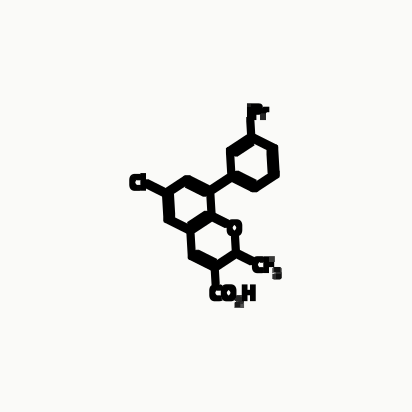 CC(C)c1cccc(-c2cc(Cl)cc3c2OC(C(F)(F)F)C(C(=O)O)=C3)c1